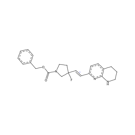 O=C(OCc1ccccc1)N1CCC(F)(/C=C/c2ccc3c(n2)NCCC3)C1